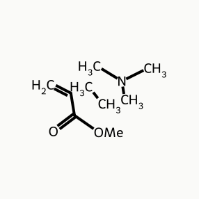 C=CC(=O)OC.CC.CN(C)C